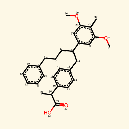 COc1cc(C(CCCc2ccccc2)Cc2ccc(C(C)C(=O)O)cc2)cc(OC)c1C